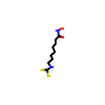 O=C(CCCCCCCNC(=S)S)NO